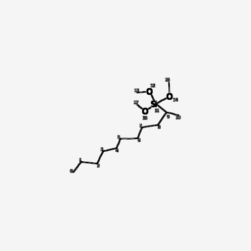 CCCCCCCCCC(C)[Si](OC)(OC)OC